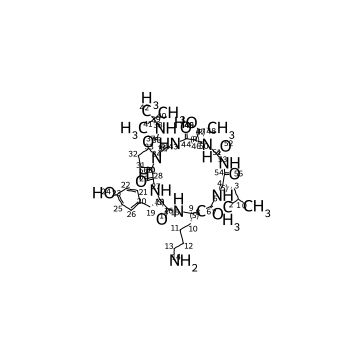 CC(C)C[C@@H]1NC(=O)C[C@H](CCCCN)NC(=O)[C@H](Cc2ccc(O)cc2)NC(=O)[C@@H]2CCCN2[C@H](C(=O)NC(C)(C)C)NC(=O)[C@@H]([C@@H](C)O)NC(=O)NC1=O